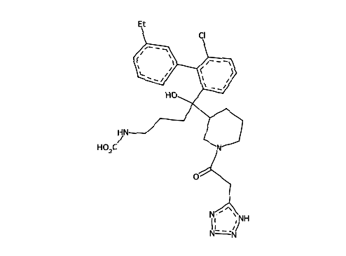 CCc1cccc(-c2c(Cl)cccc2C(O)(CCCNC(=O)O)C2CCCN(C(=O)Cc3nnn[nH]3)C2)c1